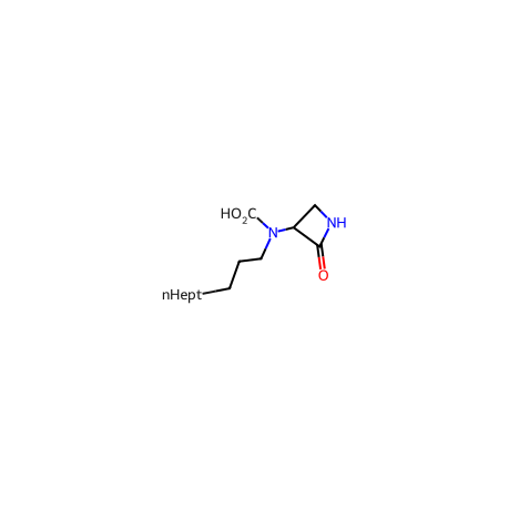 CCCCCCCCCCN(C(=O)O)C1CNC1=O